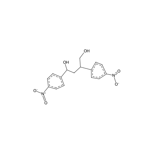 O=[N+]([O-])c1ccc(C(O)CC(CO)c2ccc([N+](=O)[O-])cc2)cc1